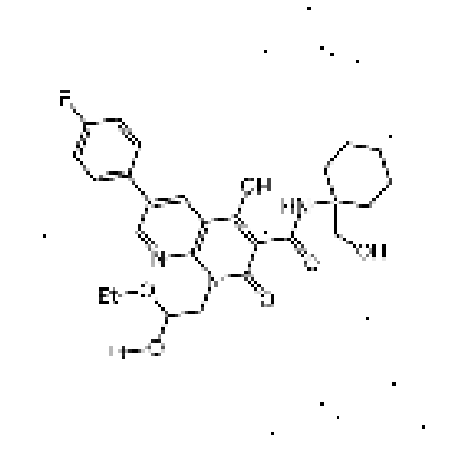 CCOC(Cn1c(=O)c(C(=O)NC2(CO)CCCCC2)c(O)c2cc(-c3ccc(F)cc3)cnc21)OCC